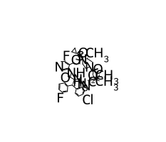 C[C@H]1CN(C(=O)OC(C)(C)C)C[C@H](CCc2c(F)cncc2NC(=O)C(N=[N+]=[N-])[C@@H](c2ccc(Cl)cc2)c2cccc(F)c2)N1S(=O)(=O)C1CC1